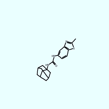 Cc1nc2cc(NC(=O)NC34CC5CC(CC(C5)C3)C4)ccc2s1